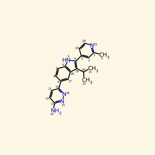 Cc1cc(-c2[nH]c3ccc(-c4ccc(N)nn4)cc3c2C(C)C)ccn1